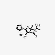 CC(O)[C@H]1C(=O)N2C(C(=O)O)=C(n3cccn3)S[C@H]12